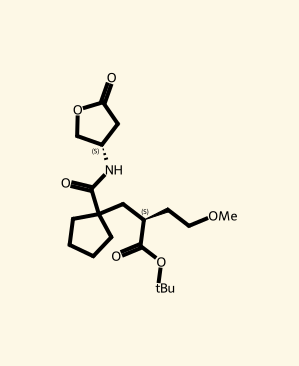 COCC[C@H](CC1(C(=O)N[C@@H]2COC(=O)C2)CCCC1)C(=O)OC(C)(C)C